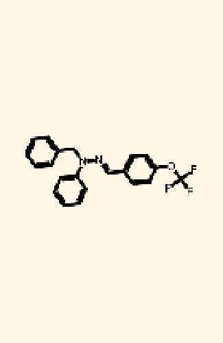 FC(F)(F)Oc1ccc(C=NN(Cc2ccccc2)c2ccccc2)cc1